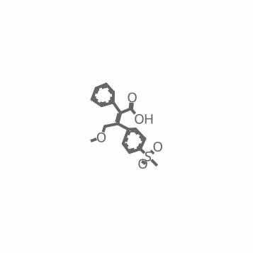 COCC(=C(C(=O)O)c1ccccc1)c1ccc(S(C)(=O)=O)cc1